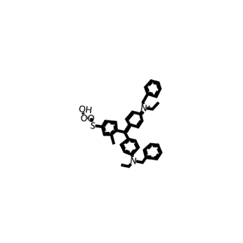 CCN(Cc1ccccc1)c1ccc(C(=C2C=CC(=[N+](CC)Cc3ccccc3)C=C2)c2ccc(SOOO)cc2C)cc1